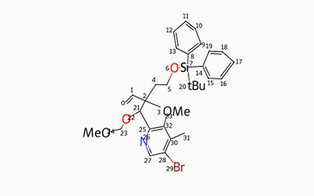 C=CC(C)(CCO[Si](c1ccccc1)(c1ccccc1)C(C)(C)C)C(OCOC)c1ncc(Br)c(C)c1OC